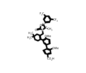 COc1ccc(-c2ccc(C(=O)O)cc2OC)cc1C1=C(CN2C(=O)O[C@H](c3cc(C(F)(F)F)cc(C(F)(F)F)c3)[C@@H]2C)CC(C)(C)CC1